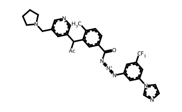 CC(=O)C(c1cncc(CN2CCCC2)c1)c1cc(C(=O)N=[N+]=Nc2cc(-n3ccnc3)cc(C(F)(F)F)c2)ccc1C